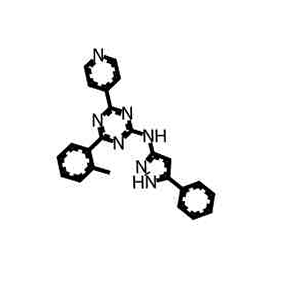 Cc1ccccc1-c1nc(Nc2cc(-c3ccccc3)[nH]n2)nc(-c2ccncc2)n1